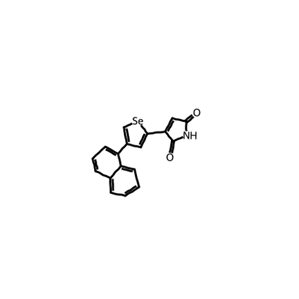 O=C1C=C(c2cc(-c3cccc4ccccc34)c[se]2)C(=O)N1